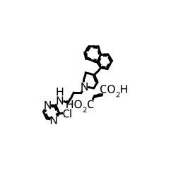 Clc1nccnc1NCCCN1CC=C(c2cccc3ccccc23)CC1.O=C(O)/C=C/C(=O)O